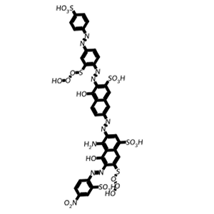 Nc1c(N=Nc2ccc3c(O)c(N=Nc4ccc(N=Nc5ccc(S(=O)(=O)O)cc5)cc4SOOO)c(S(=O)(=O)O)cc3c2)cc(S(=O)(=O)O)c2cc(SOOO)c(N=Nc3ccc([N+](=O)[O-])cc3S(=O)(=O)O)c(O)c12